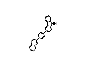 c1ccc2cc(-c3ccc(-c4ccc5[nH]c6ccccc6c5c4)cc3)ccc2c1